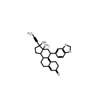 CC#CC1(O)CCC2C3CCC4=CC(=O)CCC4=C3C(c3ccc4c(c3)OCO4)CC21C